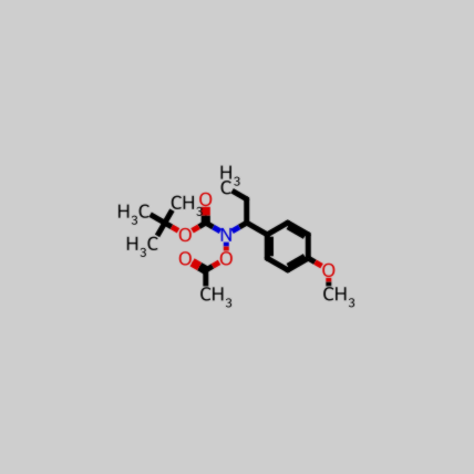 CCC(c1ccc(OC)cc1)N(OC(C)=O)C(=O)OC(C)(C)C